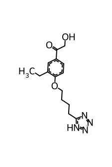 CCc1cc(C(=O)CO)ccc1OCCCCc1nnn[nH]1